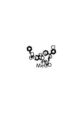 COC(=O)NCCOC(c1cccc(Cl)c1)[C@@H]1CCCN(C(=O)OC2CN(C(=O)OCc3ccccc3)CCC2CC(C)C)C1